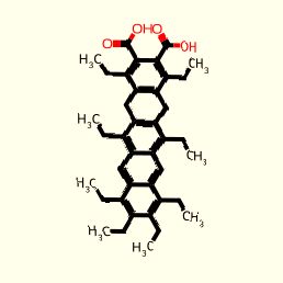 CCc1c2c(c(CC)c(C(=O)O)c1C(=O)O)Cc1c(c(CC)c3cc4c(CC)c(CC)c(CC)c(CC)c4cc3c1CC)C2